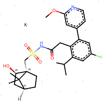 COc1cc(-c2cc(F)cc(C(C)C)c2CC(=O)NS(=O)(=O)C[C@@]23CC[C@@H](C[C@H]2O)C3(C)C)ccn1.[K]